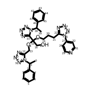 CC(c1ccccc1)n1nnnc1COC(CO)(OCCCc1nnnn1-c1ccncc1)c1nnnn1C(C)c1ccccc1